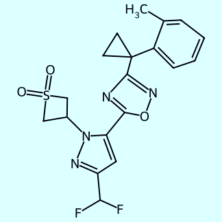 Cc1ccccc1C1(c2noc(-c3cc(C(F)F)nn3C3CS(=O)(=O)C3)n2)CC1